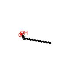 CCCCCCCCCCCCCCCCCCCC=C=CCC(=O)O